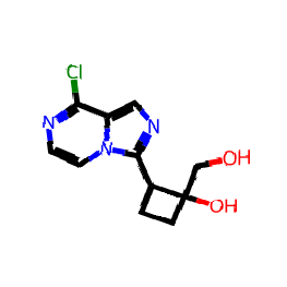 OCC1(O)CCC1c1ncc2c(Cl)nccn12